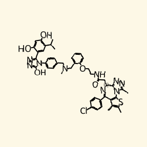 Cc1sc2c(c1C)C(c1ccc(Cl)cc1)=N[C@@H](CC(=O)NCCOc1ccccc1CN(C)Cc1ccc(-n3c(O)nnc3-c3cc(C(C)C)c(O)cc3O)cc1)c1nnc(C)n1-2